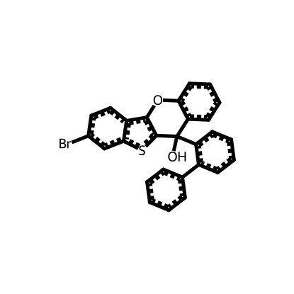 OC1(c2ccccc2-c2ccccc2)c2ccccc2Oc2c1sc1cc(Br)ccc21